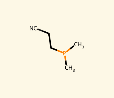 CP(C)CCC#N